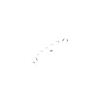 CC(C)(CCCN(CCCC(C)(C)c1cc(O)no1)C(N)=S)c1cc(O)no1